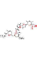 COC1CC(CC2CCC(C)C(C(C)C(=O)O)O2)OC2(OC(C)(C3CCC(C)(C4OC(C5OC(O)(CO)C(C)CC5C)CC4C)O3)CC2C)C1C